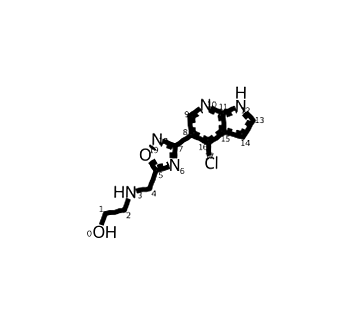 OCCNCc1nc(-c2cnc3[nH]ccc3c2Cl)no1